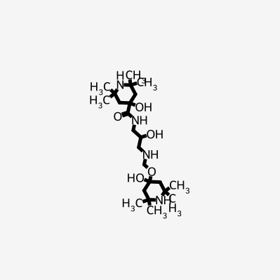 CC1(C)CC(O)(OCNCC(O)CNC(=O)C2(O)CC(C)(C)NC(C)(C)C2)CC(C)(C)N1